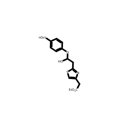 CCCCCCCCc1ccc(OC(O)Cc2nc(CC(=O)OCC)cs2)cc1